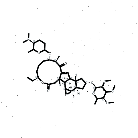 CC[C@H]1CCC[C@H](OC2CC[C@H](N(C)C)C(C)O2)[C@@H](C)C(=O)C2=C[C@H]3[C@@H]4C[C@H](O[C@@H]5OC(C)[C@H](OC)C(OC)C5OC)C[C@H]4[C@H]4O[C@H]4[C@H]3[C@@H]2CC(=O)O1